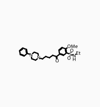 CCNS(=O)(=O)c1cc(C(=O)CCCCN2CCN(c3ccccc3)CC2)ccc1OC